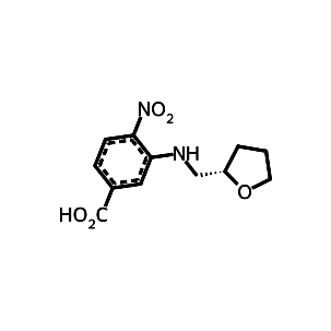 O=C(O)c1ccc([N+](=O)[O-])c(NC[C@@H]2CCCO2)c1